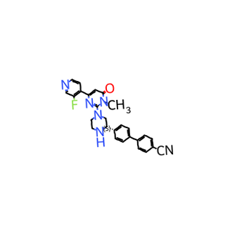 Cn1c(N2CCN[C@@H](c3ccc(-c4ccc(C#N)cc4)cc3)C2)nc(-c2ccncc2F)cc1=O